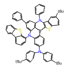 CC(C)(C)c1ccc(N(c2ccc(C(C)(C)C)cc2)c2ccc3c(c2)N(c2cccc4c2sc2ccccc24)c2cc(-c4ccccc4)cc4c2B3c2sc3ccc(C(C)(C)C)cc3c2N4c2ccccc2)cc1